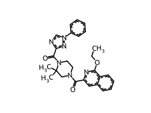 CCOc1nc(C(=O)N2CCN(C(=O)c3ncn(-c4ccccc4)n3)C(C)(C)C2)cc2ccccc12